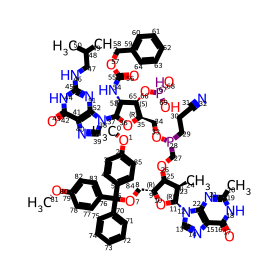 COc1ccc(C(OC[C@H]2O[C@@H](n3cnc4c(=O)[nH]c(C)nc43)[C@H](C)C2OCP(CCC#N)OC[C@H]2OC(n3cnc4c(=O)[nH]c(NCC(C)C)nc43)[C@H](NC(=O)OCc3ccccc3)[C@@H]2O[PH](=O)O)(c2ccccc2)c2ccc(OC)cc2)cc1